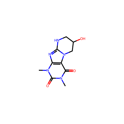 Cn1c(=O)c2c(nc3n2CC(O)CN3)n(C)c1=O